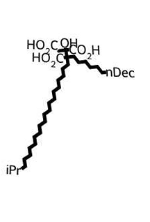 CCCCCCCCCCCCCCCCC(CCCCCCCCCCCCCCCCCCCC(C)C)(C(=O)O)C(O)(CC(=O)O)C(=O)O